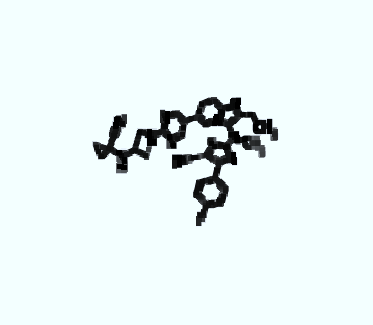 CCc1nc2ccc(-c3cnc(N4CC(NC5(C#N)CC5)C4)nc3)cn2c1N(C)c1nc(-c2ccc(F)cc2)c(C#N)s1